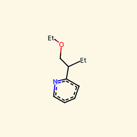 CCOCC(CC)c1ccccn1